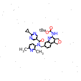 Cc1ccc(N(Cc2ccc3c4c(c(NC(=O)OC(C)(C)C)nc3c2)COC4)C(=O)c2cnc(C3CC3)nc2)c(C)n1